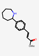 COC(=O)C=Cc1ccc(C2CCCCCN2)cc1